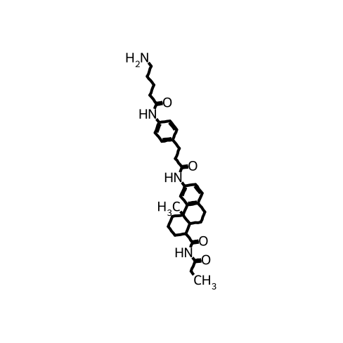 CCC(=O)NC(=O)C1CCCC2(C)c3cc(NC(=O)CCc4ccc(NC(=O)CCCCN)cc4)ccc3CCC12